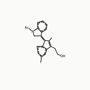 CC(=O)N1CC(=C2C(C)=C(CCO)c3cc(F)ccc32)c2ccccc21